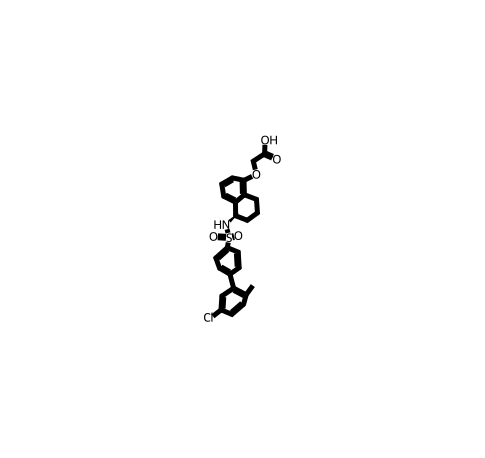 Cc1ccc(Cl)cc1-c1ccc(S(=O)(=O)N[C@@H]2CCCc3c(OCC(=O)O)cccc32)cc1